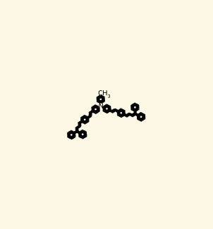 Cc1ccc(N(c2ccc(/C=C/c3ccc(/C=C/C=C(c4ccccc4)c4ccccc4)cc3)cc2)c2ccc(/C=C/c3ccc(/C=C/C=C(c4ccccc4)c4ccccc4)cc3)cc2)cc1